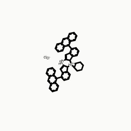 CCCC1=Cc2c(-c3c4ccccc4cc4ccccc34)cccc2[CH]1[Hf+2]1([CH]2C(CCC)=Cc3c(-c4c5ccccc5cc5ccccc45)cccc32)[CH]2CCCC[CH]21.[Cl-].[Cl-]